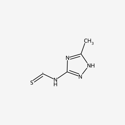 Cc1nc(N[C]=S)n[nH]1